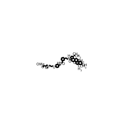 C=C(C)[C@@H]1CC[C@]2(C(=O)NCCc3cccc(C(=O)NCc4ccc(OCCCn5cnc(C(=O)OC)c5)cc4)c3)CC[C@]3(C)C(CCC4[C@@]5(C)CC[C@H](O)C(C)(C)C5CC[C@]43C)C12